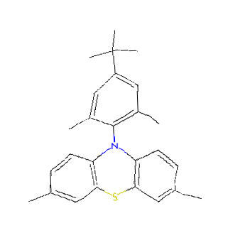 Cc1ccc2c(c1)Sc1cc(C)ccc1N2c1c(C)cc(C(C)(C)C)cc1C